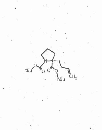 C=CCC[C@@]1(C(=O)OCCCC)CCCN1C(=O)OC(C)(C)C